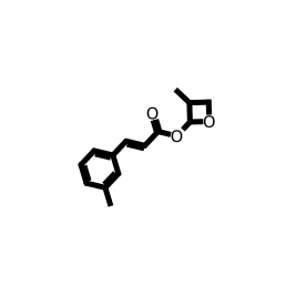 Cc1cccc(C=CC(=O)OC2OCC2C)c1